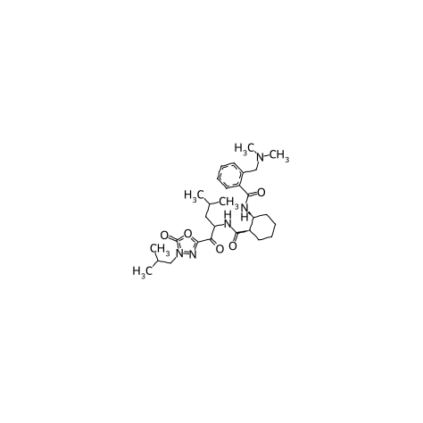 CC(C)CC(NC(=O)[C@@H]1CCCC[C@@H]1NC(=O)c1ccccc1CN(C)C)C(=O)c1nn(CC(C)C)c(=O)o1